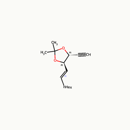 C#C[C@H]1OC(C)(C)O[C@@H]1/C=C/CCCCCC